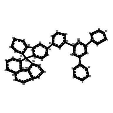 c1ccc(-c2cc(-c3ccccc3)nc(-c3cccc(-c4ccc5c(c4)-c4ccccc4C54c5cccc6ccc7cccc4c7c56)c3)n2)cc1